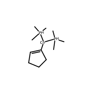 C[PH](C)(C)[Co]([C]1=CCCC1)[PH](C)(C)C